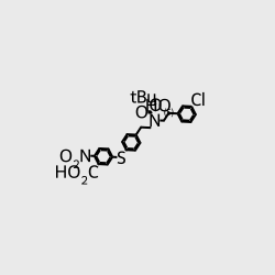 CC(C)(C)OC(=O)N(CCc1ccc(Sc2ccc([N+](=O)[O-])c(C(=O)O)c2)cc1)C[C@@H](O)c1cccc(Cl)c1